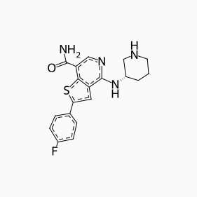 NC(=O)c1cnc(N[C@H]2CCCNC2)c2cc(-c3ccc(F)cc3)sc12